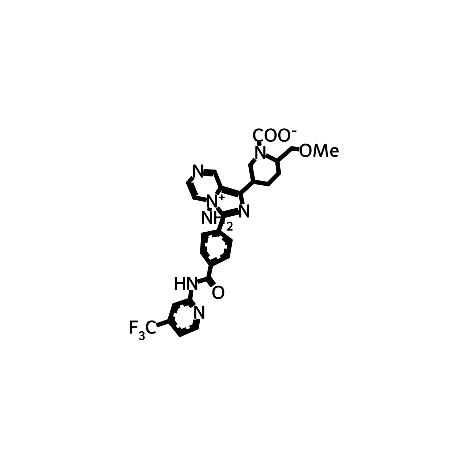 COCC1CCC(C2=C3C=NC=C[N+]3(N)C(c3ccc(C(=O)Nc4cc(C(F)(F)F)ccn4)cc3)=N2)CN1C(=O)[O-]